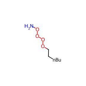 CCCCCCOOOON